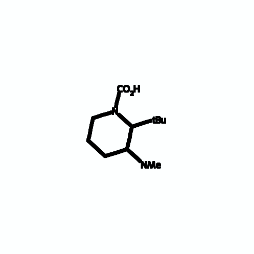 CNC1CCCN(C(=O)O)C1C(C)(C)C